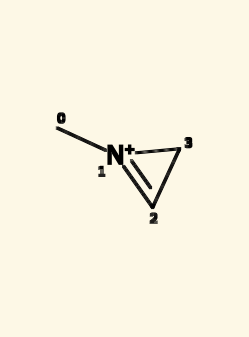 C[N+]1=CC1